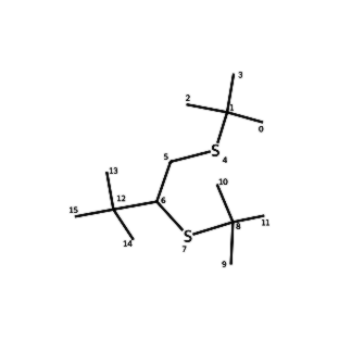 CC(C)(C)SCC(SC(C)(C)C)C(C)(C)C